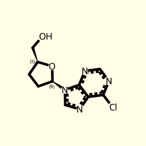 OC[C@@H]1CC[C@H](n2cnc3c(Cl)ncnc32)O1